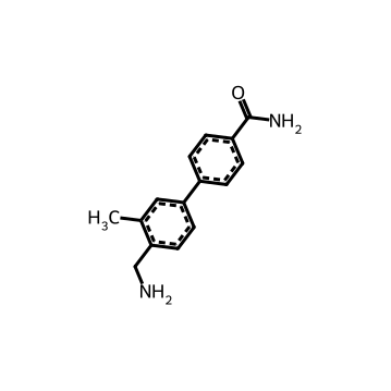 Cc1cc(-c2ccc(C(N)=O)cc2)ccc1CN